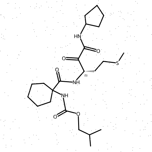 CSCC[C@H](NC(=O)C1(NC(=O)OCC(C)C)CCCCC1)C(=O)C(=O)NC1CCCC1